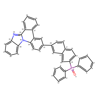 O=P(c1ccccc1)(c1ccccc1)c1ccc2ccc(-c3ccc4c(c3)c3ccccc3c3nc5ccccc5n43)cc2c1